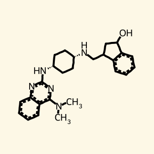 CN(C)c1nc(N[C@H]2CC[C@@H](NCC3CC(O)c4ccccc43)CC2)nc2ccccc12